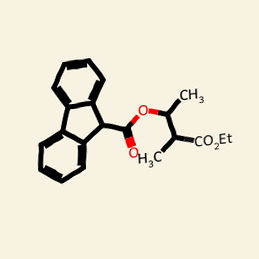 CCOC(=O)C(C)C(C)OC(=O)C1c2ccccc2-c2ccccc21